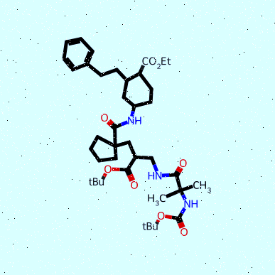 CCOC(=O)C1CCC(NC(=O)C2(CC(CNC(=O)C(C)(C)NC(=O)OC(C)(C)C)C(=O)OC(C)(C)C)CCCC2)CC1CCc1ccccc1